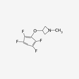 CN1CC(Oc2c(F)c(F)cc(F)c2F)C1